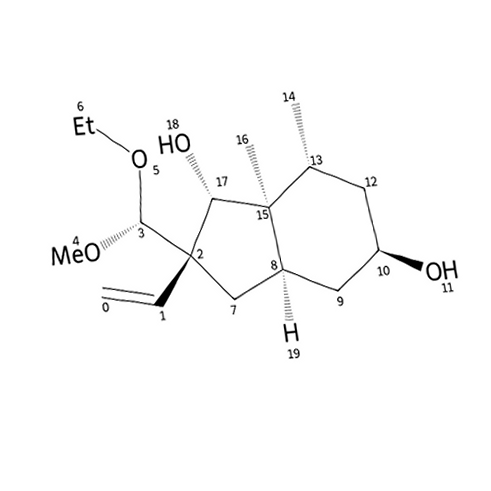 C=C[C@]1([C@H](OC)OCC)C[C@@H]2C[C@H](O)C[C@@H](C)[C@]2(C)[C@H]1O